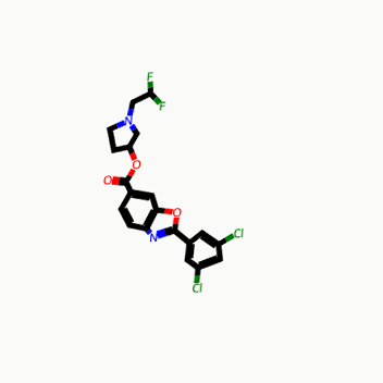 O=C(OC1CCN(CC(F)F)C1)c1ccc2nc(-c3cc(Cl)cc(Cl)c3)oc2c1